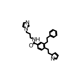 O=C(NCCCn1ccnc1)c1ccc(CCC2C=CC=N2)c(CCc2ccccc2)c1